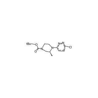 C[C@H]1CN(C(=O)OC(C)(C)C)CCN1c1ccc(Cl)nn1